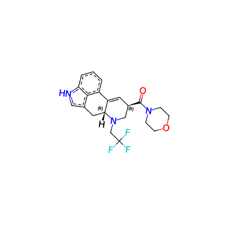 O=C([C@@H]1C=C2c3cccc4[nH]cc(c34)C[C@H]2N(CC(F)(F)F)C1)N1CCOCC1